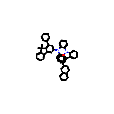 CC1(C)c2ccccc2-c2cc(N(c3ccc(-c4ccc5ccccc5c4)cc3)c3ccccc3-n3c4ccccc4c4ccccc43)cc(-c3ccccc3)c21